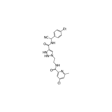 CCc1ccc(C(C#N)NC(=O)C2=CN(CCNC(=O)c3cc(Cl)cc(C)n3)NN2)cc1